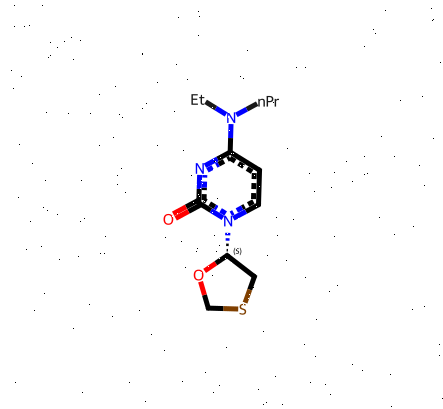 CCCN(CC)c1ccn([C@@H]2CSCO2)c(=O)n1